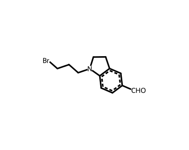 O=Cc1ccc2c(c1)CCN2CCCBr